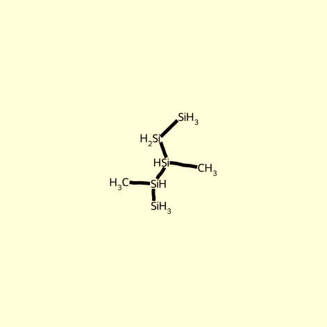 C[SiH]([SiH3])[SiH](C)[SiH2][SiH3]